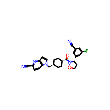 N#Cc1cc(F)cc([C@@H]2CCON2C(=O)[C@H]2CC[C@H](Cn3ccc4nc(C#N)ccc43)CC2)c1